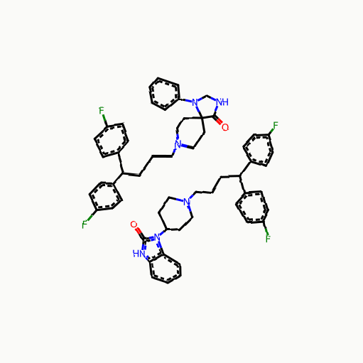 O=C1NCN(c2ccccc2)C12CCN(CCCC(c1ccc(F)cc1)c1ccc(F)cc1)CC2.O=c1[nH]c2ccccc2n1C1CCN(CCCC(c2ccc(F)cc2)c2ccc(F)cc2)CC1